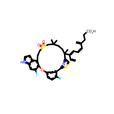 C=C/C(=C\C=C/C(=C)CCC(=O)O)C1(C)CCC(C)(C)CS(=O)(=O)CCc2c(c(F)cc3[nH]ccc23)Oc2ccc(F)c(c2)-c2nc1cs2